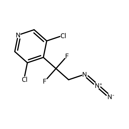 [N-]=[N+]=NCC(F)(F)c1c(Cl)cncc1Cl